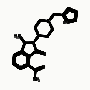 CC1c2cccc(C(N)=O)c2C(=O)N1C1CCN(Cc2ccc[nH]2)CC1